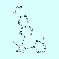 Cc1cccc(-c2n[nH]c(I)c2-c2ccc3ncc(NC(=O)O)cc3n2)n1